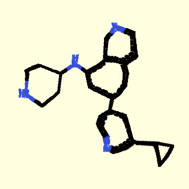 c1cc2cc(-c3cncc(C4CC4)c3)cc(NC3CCNCC3)c2cn1